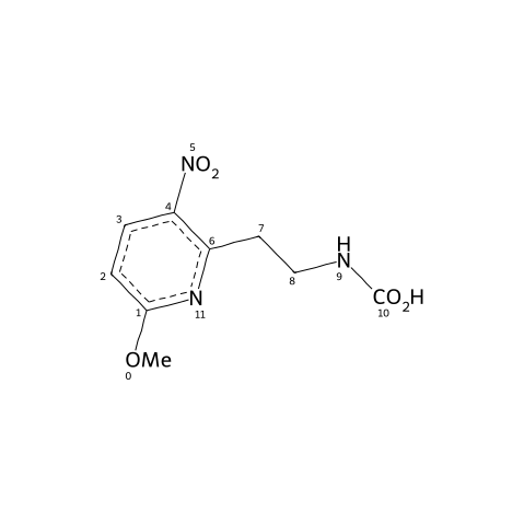 COc1ccc([N+](=O)[O-])c(CCNC(=O)O)n1